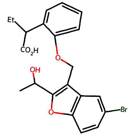 CCC(C(=O)O)c1ccccc1OCc1c(C(C)O)oc2ccc(Br)cc12